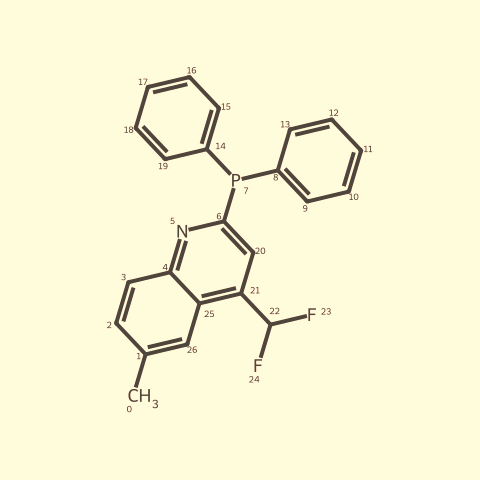 Cc1ccc2nc(P(c3ccccc3)c3ccccc3)cc(C(F)F)c2c1